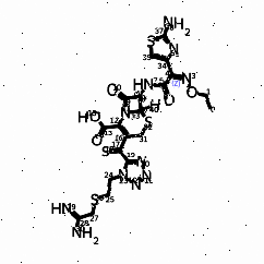 CCO/N=C(\C(=O)N[C@@H]1C(=O)N2C(C(=O)O)=C(C(=S)c3nnnn3CCSCC(=N)N)CS[C@@H]12)c1csc(N)n1